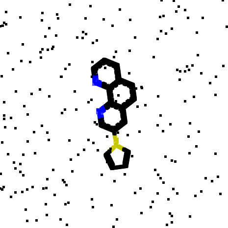 C1=C[SH](c2cnc3c(ccc4cccnc43)c2)C=C1